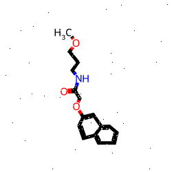 COCCCNC(=O)COc1ccc2ccccc2c1